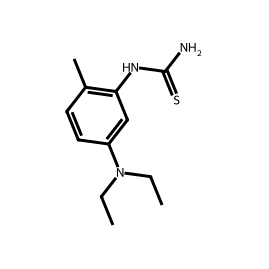 CCN(CC)c1ccc(C)c(NC(N)=S)c1